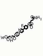 COC(=O)CNCC(=O)N1CCN(c2ccc(-c3ccc(N4CC(CCC(N)=O)OC4=O)cc3F)cn2)CC1